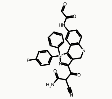 N#CC(C(N)=O)C(=O)C1=N[N+](c2ccccc2)(c2ccc(F)cc2)C2=C1CSc1ccc(NC(=O)C=O)cc12